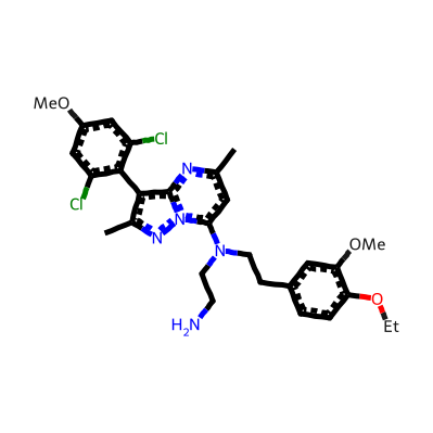 CCOc1ccc(CCN(CCN)c2cc(C)nc3c(-c4c(Cl)cc(OC)cc4Cl)c(C)nn23)cc1OC